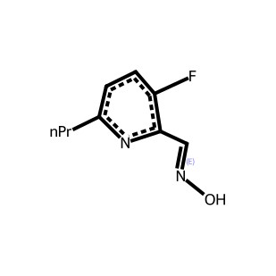 CCCc1ccc(F)c(/C=N/O)n1